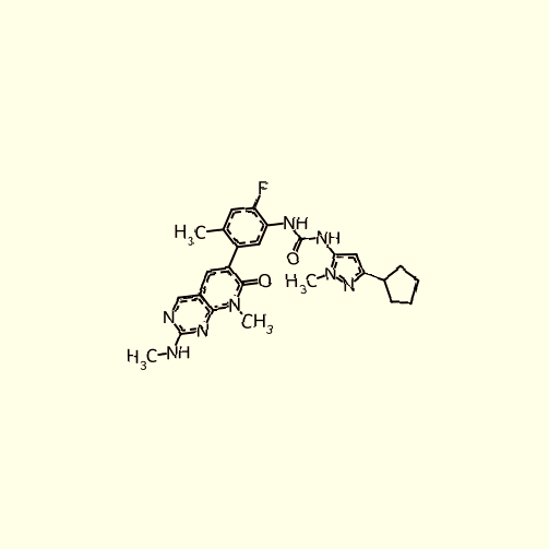 CNc1ncc2cc(-c3cc(NC(=O)Nc4cc(C5CCCC5)nn4C)c(F)cc3C)c(=O)n(C)c2n1